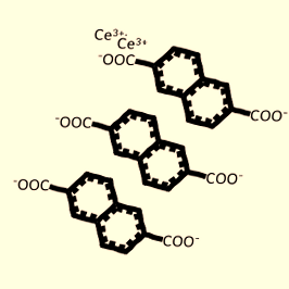 O=C([O-])c1ccc2cc(C(=O)[O-])ccc2c1.O=C([O-])c1ccc2cc(C(=O)[O-])ccc2c1.O=C([O-])c1ccc2cc(C(=O)[O-])ccc2c1.[Ce+3].[Ce+3]